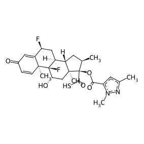 Cc1cc(C(=O)O[C@]2(C(=O)S)[C@H](C)C[C@H]3[C@@H]4C[C@H](F)C5=CC(=O)C=C[C@]5(C)[C@@]4(F)[C@@H](O)C[C@@]32C)n(C)n1